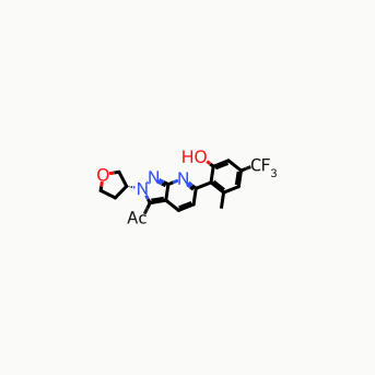 CC(=O)c1c2ccc(-c3c(C)cc(C(F)(F)F)cc3O)nc2nn1[C@@H]1CCOC1